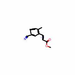 COC(=O)/C=C/c1cc(C#N)ccc1C